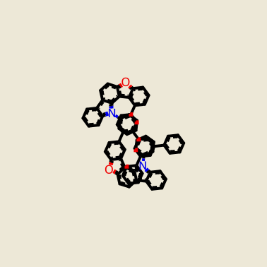 c1ccc(-c2cc(-c3ccccc3)cc(-c3cc(-c4cccc5oc6ccc7c8ccccc8n(-c8ccccc8)c7c6c45)ccc3-c3ccc4oc5ccc6c7ccccc7n(-c7ccccc7)c6c5c4c3)c2)cc1